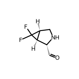 O=C[C@H]1NC[C@H]2[C@@H]1C2(F)F